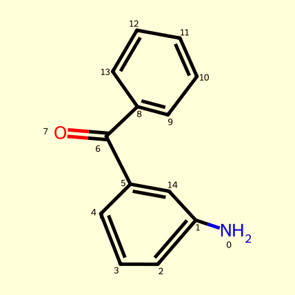 Nc1cc[c]c(C(=O)c2ccccc2)c1